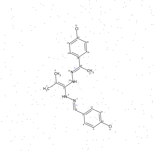 CC(C)=C(N/N=C/c1ccc(Cl)cc1)N/N=C(\C)c1ccc(Cl)cc1